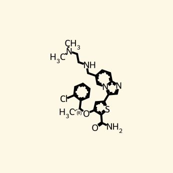 C[C@@H](Oc1cc(-c2cnc3ccc(CNCCN(C)C)cn23)sc1C(N)=O)c1ccccc1Cl